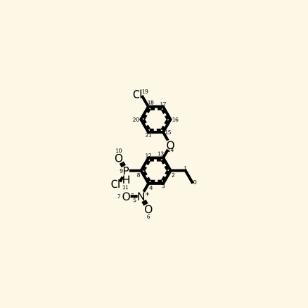 CCc1cc([N+](=O)[O-])c([PH](=O)Cl)cc1Oc1ccc(Cl)cc1